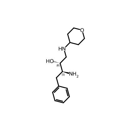 N[C@@H](Cc1ccccc1)[C@H](O)CNC1CCOCC1